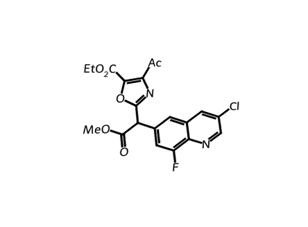 CCOC(=O)c1oc(C(C(=O)OC)c2cc(F)c3ncc(Cl)cc3c2)nc1C(C)=O